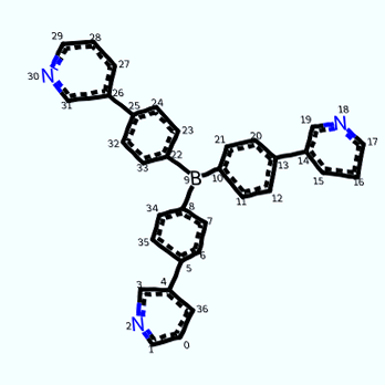 c1cncc(-c2ccc(B(c3ccc(-c4cccnc4)cc3)c3ccc(-c4cccnc4)cc3)cc2)c1